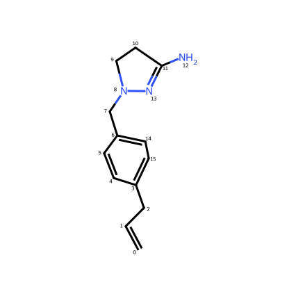 C=CCc1ccc(CN2CCC(N)=N2)cc1